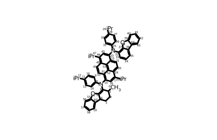 CC1CCC2C(=C1N(c1ccc(C(C)C)cc1)c1cc(C(C)C)c3ccc4c(N(c5ccc(C(C)C)cc5)c5cccc6c5oc5ccccc56)cc(C(C)C)c5ccc1c3c54)Oc1ccccc12